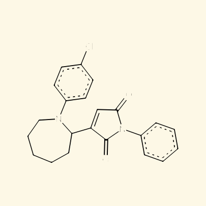 O=C1C=C(C2CCCCCN2c2ccc(Cl)cc2)C(=O)N1c1ccccc1